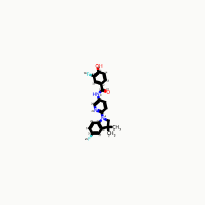 CC1(C)CN(c2ccc(NC(=O)c3ccc(O)c(F)c3)cn2)c2ccc(F)cc21